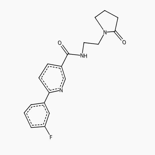 O=C(NCCN1CCCC1=O)c1ccc(-c2cccc(F)c2)nc1